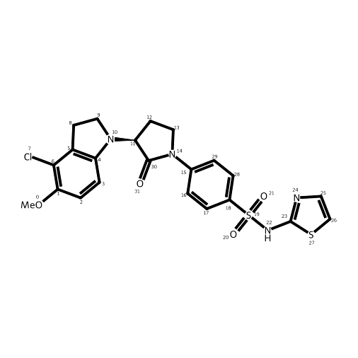 COc1ccc2c(c1Cl)CCN2[C@H]1CCN(c2ccc(S(=O)(=O)Nc3nccs3)cc2)C1=O